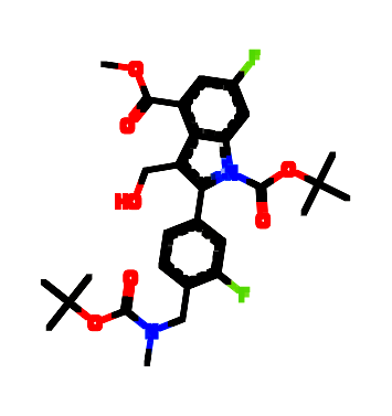 COC(=O)c1cc(F)cc2c1c(CO)c(-c1ccc(CN(C)C(=O)OC(C)(C)C)c(F)c1)n2C(=O)OC(C)(C)C